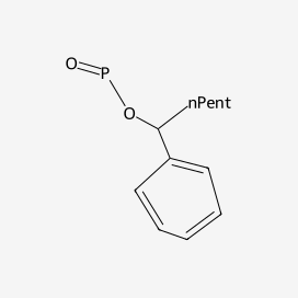 CCCCCC(OP=O)c1ccccc1